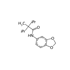 CC(C)C(C)(C(=O)Nc1ccc2c(c1)OCO2)C(C)C